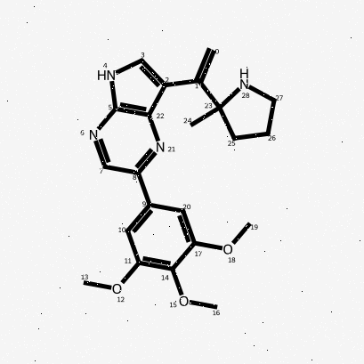 C=C(c1c[nH]c2ncc(-c3cc(OC)c(OC)c(OC)c3)nc12)C1(C)CCCN1